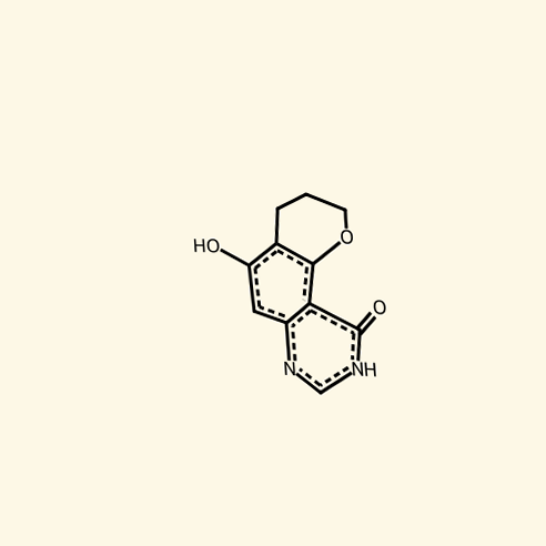 O=c1[nH]cnc2cc(O)c3c(c12)OCCC3